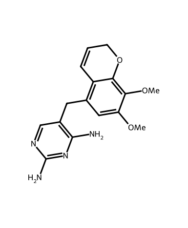 COc1cc(Cc2cnc(N)nc2N)c2c(c1OC)OCC=C2